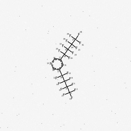 FC(F)(F)C(F)(F)C(F)(F)C(F)(F)c1[c]ncc(C(F)(F)C(F)(F)C(F)(F)C(F)(F)F)c1